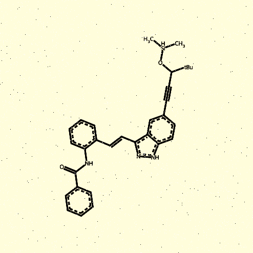 C[SiH](C)OC(C#Cc1ccc2[nH]nc(C=Cc3ccccc3NC(=O)c3ccccc3)c2c1)C(C)(C)C